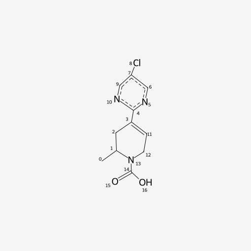 CC1CC(c2ncc(Cl)cn2)=CCN1C(=O)O